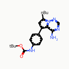 [CH2]CCCc1cc(-c2ccc(NC(=O)OC(C)(C)C)cc2)c2c(N)ncnn12